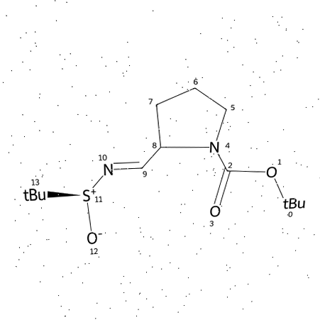 CC(C)(C)OC(=O)N1CCCC1C=N[S@@+]([O-])C(C)(C)C